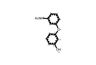 CC(=O)Nc1cccc(Oc2cccc(O)c2)c1